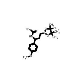 CC(C)(C)C(=O)NC(CCB1OC(C)(C)C(C)(C)O1)c1ccc(OC(F)(F)F)cc1